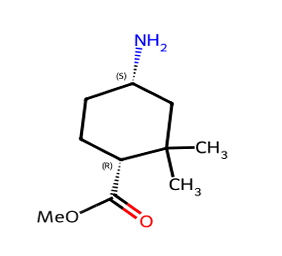 COC(=O)[C@@H]1CC[C@H](N)CC1(C)C